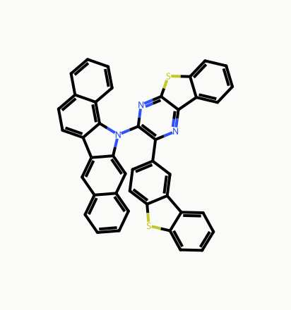 c1ccc2cc3c(cc2c1)c1ccc2ccccc2c1n3-c1nc2sc3ccccc3c2nc1-c1ccc2sc3ccccc3c2c1